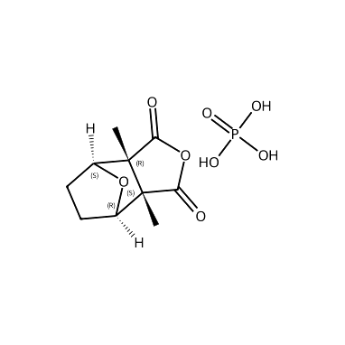 C[C@@]12C(=O)OC(=O)[C@]1(C)[C@H]1CC[C@@H]2O1.O=P(O)(O)O